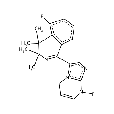 CC1(C)N=C(c2cnc3n2CC=CN3F)c2cccc(F)c2C1(C)C